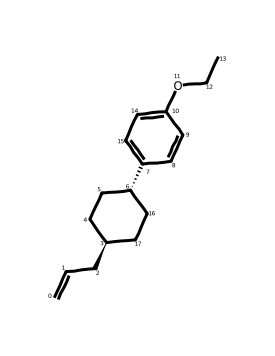 C=CC[C@H]1CC[C@H](c2ccc(OCC)cc2)CC1